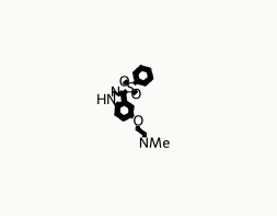 CNCCOc1ccc2[nH]nc(S(=O)(=O)c3ccccc3)c2c1